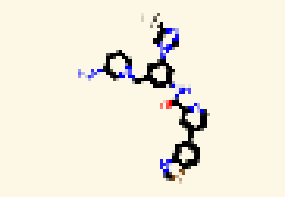 Cc1cn(-c2cc(CN3CCC[C@H](N)C3)cc(NC(=O)c3cc(-c4ccc5scnc5c4)ccn3)c2)cn1